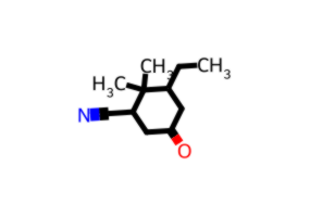 CCC1CC(=O)CC(C#N)C1(C)C